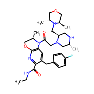 CCNC(=O)c1nc2c(cc1Cc1ccc(F)cc1)N(C(=O)CN1C[C@@H](C)NC[C@@H]1CN1[C@H](C)COC[C@H]1C)[C@@H](C)CO2